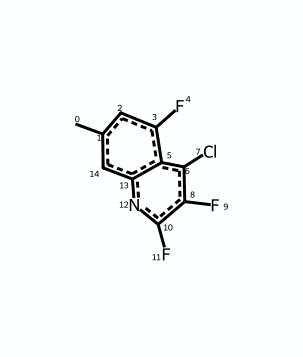 Cc1cc(F)c2c(Cl)c(F)c(F)nc2c1